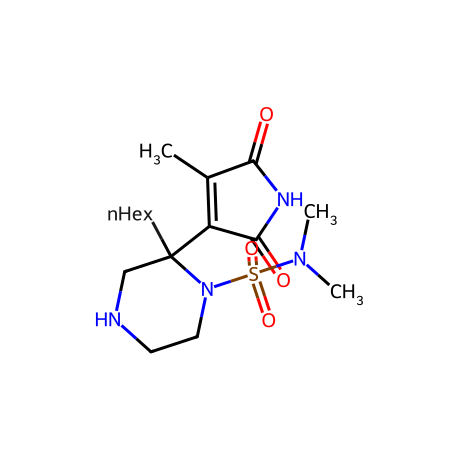 CCCCCCC1(C2=C(C)C(=O)NC2=O)CNCCN1S(=O)(=O)N(C)C